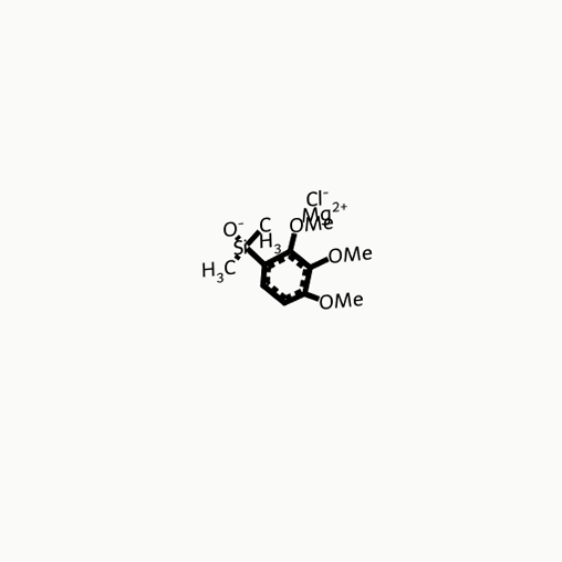 COc1ccc([Si](C)(C)[O-])c(OC)c1OC.[Cl-].[Mg+2]